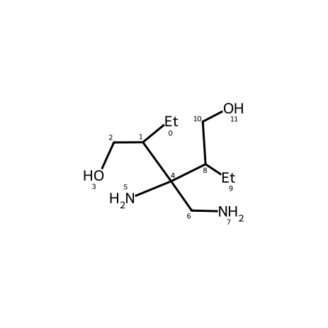 CCC(CO)C(N)(CN)C(CC)CO